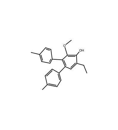 CCc1[c]c(-c2ccc(C)cc2)c(-c2ccc(C)cc2)c(OC)c1O